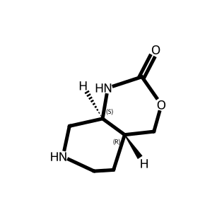 O=C1N[C@@H]2CNCC[C@H]2CO1